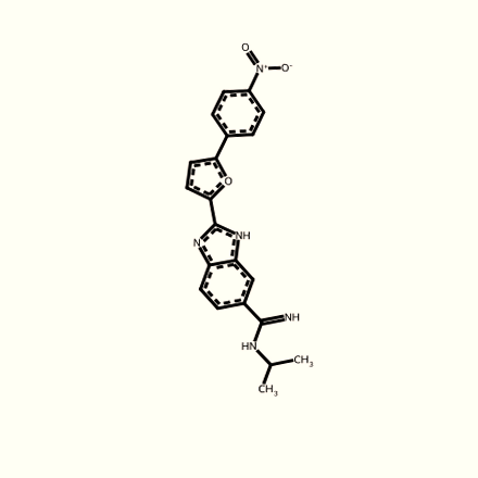 CC(C)NC(=N)c1ccc2nc(-c3ccc(-c4ccc([N+](=O)[O-])cc4)o3)[nH]c2c1